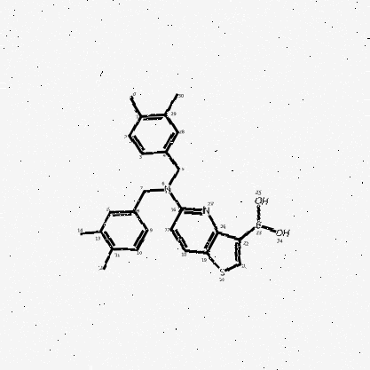 Cc1ccc(CN(Cc2ccc(C)c(C)c2)c2ccc3scc(B(O)O)c3n2)cc1C